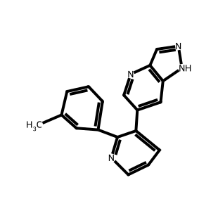 Cc1cccc(-c2ncccc2-c2cnc3cn[nH]c3c2)c1